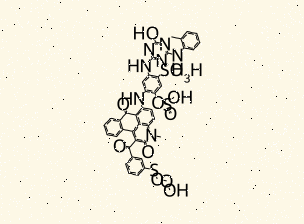 Cc1ccccc1Nc1nc(O)nc(Nc2cc(Nc3ccc4c5c3C(=O)c3ccccc3-c5c(C(=O)c3cccc(SOOO)c3)c(=O)n4C)c(OS(=O)O)cc2S(=O)(=O)O)n1